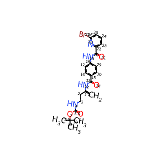 C=C(CCNC(=O)OC(C)(C)C)NC(=O)c1ccc(NC(=O)c2cccc(Br)n2)cc1